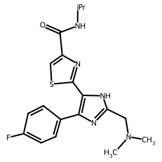 CC(C)NC(=O)c1csc(-c2[nH]c(CN(C)C)nc2-c2ccc(F)cc2)n1